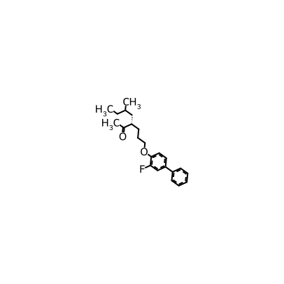 CCC(C)C[C@H](CCCOc1ccc(-c2ccccc2)cc1F)C(C)=O